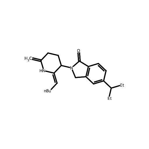 C=C1CCC(N2Cc3cc(C(CC)CC)ccc3C2=O)C(=CCCCC)N1